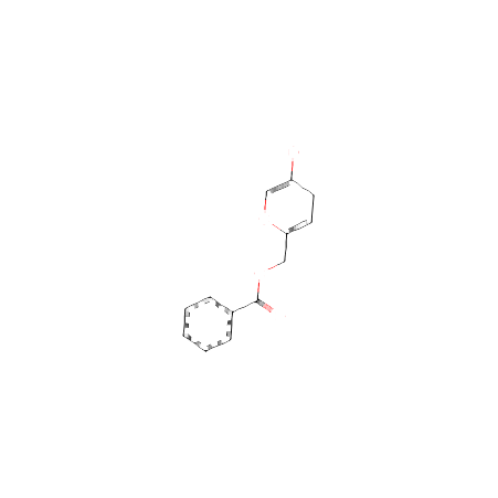 O=C(OCC1=CCC(O)=CO1)c1ccccc1